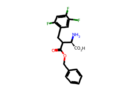 N[C@@H](C(=O)O)C(Cc1cc(F)c(F)cc1F)C(=O)OCc1ccccc1